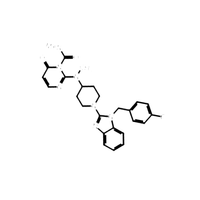 CNC(=O)n1c(N(C)C2CCN(c3nc4ccccc4n3Cc3ccc(F)cc3)CC2)nccc1=O